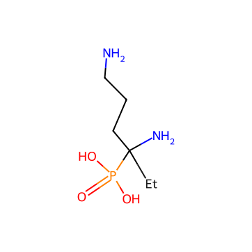 CCC(N)(CCCN)P(=O)(O)O